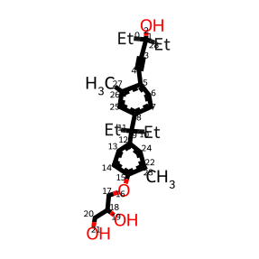 CCC(O)(C#Cc1ccc(C(CC)(CC)c2ccc(OCC(O)CO)c(C)c2)cc1C)CC